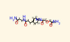 NC(=O)CCNC(=O)CCC1=CC=C(NC(=O)COCC(N)=O)CC1